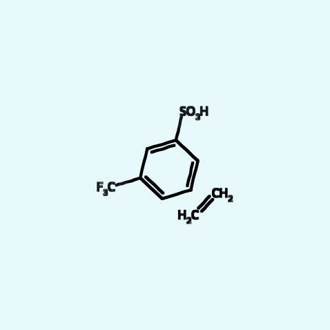 C=C.O=S(=O)(O)c1cccc(C(F)(F)F)c1